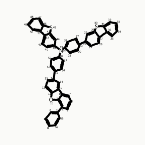 c1ccc(-c2cccc3c2oc2ccc(-c4ccc(N(c5ccc(-c6ccc7c(c6)sc6ccccc67)cc5)c5ccc6c(c5)sc5ccccc56)cc4)cc23)cc1